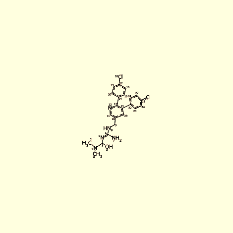 CN(C)C(O)/N=C(\N)NCc1cnc(-c2ccc(Cl)cc2)c(-c2ccc(Cl)cc2)c1